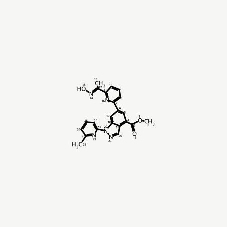 COC(=O)c1cc(-c2cccc(C(C)=NO)n2)cc2c1cnn2-c1cccc(C)n1